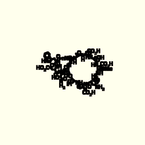 CCCCCCCCCC(=O)NC(Cc1c[nH]c2ccccc12)C(=O)NC(CCC(=O)O)C(=O)NC(C(=O)NC1C(=O)N(C)CC(=O)NC(C)C(=O)NC(CC(=O)O)C(=O)NC(CO)C(=O)NC(C(OC)C(=O)O)C(=O)NCC(=O)NC(CC(N)=O)C(=O)NC(C(C)CC(=O)O)C(=O)NC(C(C)C)C(=O)OC1C)C(O)C(N)=O